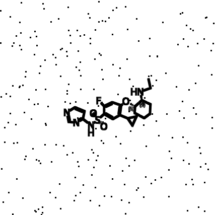 CCN[C@H]1CCCC[C@@H]1Oc1cc(F)c(S(=O)(=O)Nc2ccncn2)cc1C1CC1